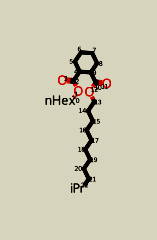 CCCCCCOC(=O)C1CCCCC1C(=O)OCCCCCCCCCC(C)C